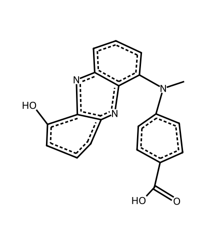 CN(c1ccc(C(=O)O)cc1)c1cccc2nc3c(O)cccc3nc12